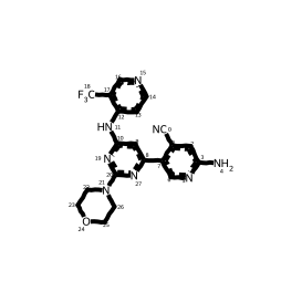 N#Cc1cc(N)ncc1-c1cc(Nc2ccncc2C(F)(F)F)nc(N2CCOCC2)n1